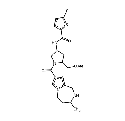 COCC1CC(NC(=O)c2ccc(Cl)s2)CN1C(=O)c1cn2c(n1)CNC(C)CC2